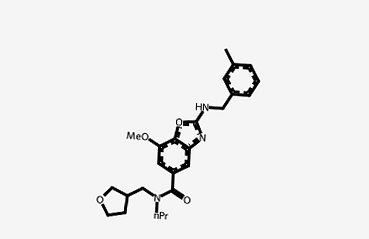 CCCN(CC1CCOC1)C(=O)c1cc(OC)c2oc(NCc3cccc(C)c3)nc2c1